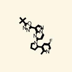 Cc1ncc(F)cc1C1CCCN1c1ccn2ncc(-c3nnc(C(C)(C)C)o3)c2n1